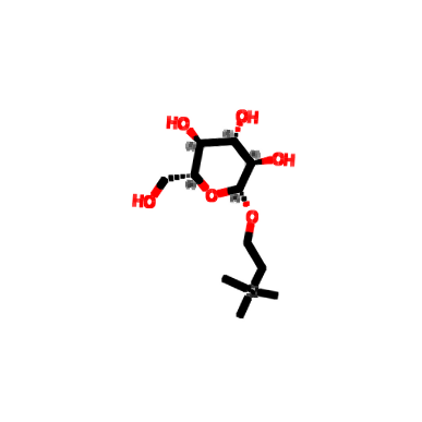 C[Si](C)(C)CCO[C@@H]1O[C@H](CO)[C@@H](O)[C@H](O)[C@H]1O